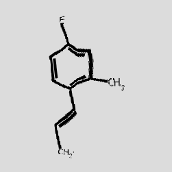 [CH2]C=Cc1ccc(F)cc1C